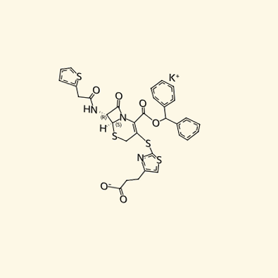 O=C([O-])CCc1csc(SC2=C(C(=O)OC(c3ccccc3)c3ccccc3)N3C(=O)[C@@H](NC(=O)Cc4cccs4)[C@@H]3SC2)n1.[K+]